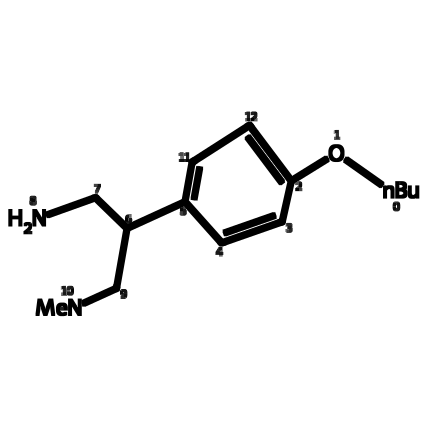 CCCCOc1ccc(C(CN)CNC)cc1